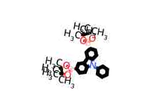 CC1(C)OB(c2ccc3c(c2)c2cc(B4OC(C)(C)C(C)(C)O4)ccc2n3-c2ccccc2)OC1(C)C